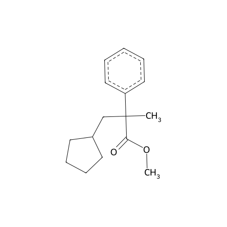 COC(=O)C(C)(CC1CCCC1)c1ccccc1